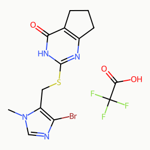 Cn1cnc(Br)c1CSc1nc2c(c(=O)[nH]1)CCC2.O=C(O)C(F)(F)F